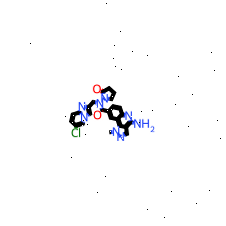 Cn1ncc2c(N)nc3ccc(C(=O)N(Cc4cn5cc(Cl)ccc5n4)N4CCCC4=O)cc3c21